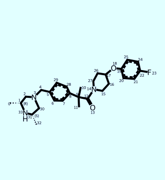 C[C@@H]1CN(Cc2ccc(C(C)(C)C(=O)N3CCC(Oc4ccc(F)cc4)CC3)cc2)C[C@H](C)N1